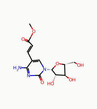 COC(=O)/C=C/c1cn([C@@H]2O[C@H](CO)[C@@H](O)[C@@H]2O)c(=O)nc1N